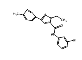 CCn1nc(-c2ccc(C)cc2)cc1C(=O)Nc1cccc(Br)c1